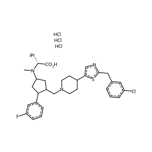 CC(C)[C@H](C(=O)O)N(C)C1CC(CN2CCC(c3cnc(Cc4cccc(Cl)c4)s3)CC2)C(c2cccc(F)c2)C1.Cl.Cl.Cl